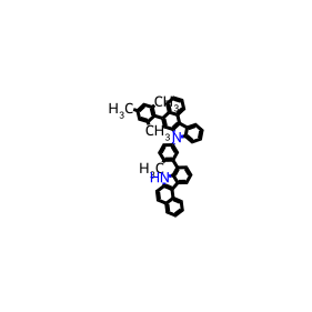 Cc1cc(C)c(-c2cc3c(c4ccccc24)c2ccccc2n3-c2ccc(C)c(-c3cccc4c3[nH]c3ccc5ccccc5c34)c2)c(C)c1